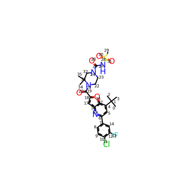 CC(C)(C)c1cc(-c2ccc(Cl)c(F)c2)nc2cc(C(=O)N3CCN(C(=O)NS(C)(=O)=O)CC3(C)C)oc12